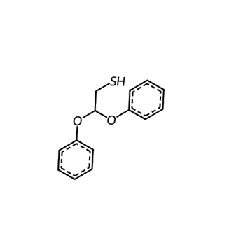 SCC(Oc1ccccc1)Oc1ccccc1